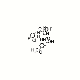 CC(=O)c1ccc2c(c1)C[C@@H](O)[C@@H]2NC(=O)c1cc(C(=O)NCc2ccc(F)c(Cl)c2)n2ncc(F)c2n1